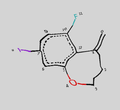 C=C1CCOc2cc(I)cc(F)c21